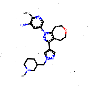 COc1ncc(-n2nc(-c3cnn(CC4CCCN(C(C)C)C4)c3)c3c2CCOCC3)cc1N